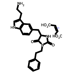 NCCc1c[nH]c2ccc(CC3NC(=O)N(CCc4ccccc4)C3=O)cc12.O=C(O)/C=C\C(=O)O